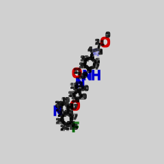 COC/C=C/c1ccc(NC(=O)N2CC3(CC(Oc4ccnc5ccc(F)cc45)C3)C2)cc1